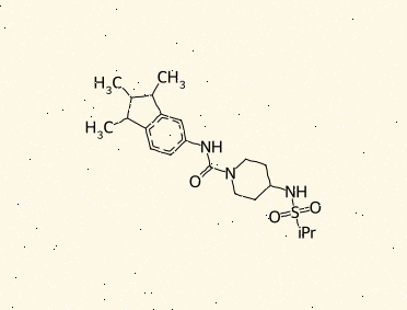 CC1c2ccc(NC(=O)N3CCC(NS(=O)(=O)C(C)C)CC3)cc2C(C)C1C